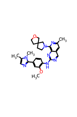 COc1cc(-c2ncc(C)n2C)ccc1Nc1ncc2cc(C)nc(N3CCC4(CCOC4)C3)c2n1